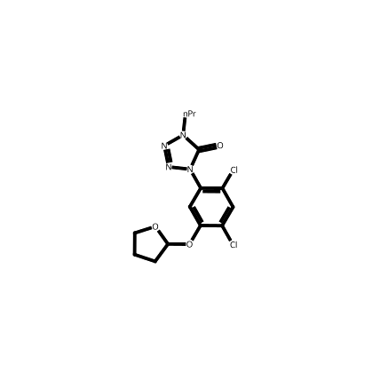 CCCn1nnn(-c2cc(OC3CCCO3)c(Cl)cc2Cl)c1=O